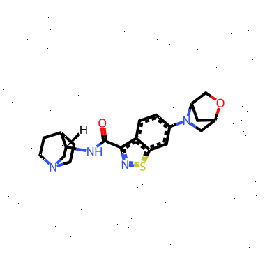 O=C(N[C@@H]1CN2CCC1CC2)c1nsc2cc(N3CC4CC3CO4)ccc12